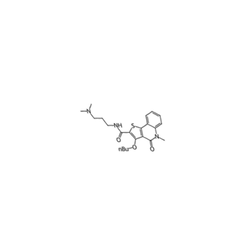 CCCCOc1c(C(=O)NCCCN(C)C)sc2c1c(=O)n(C)c1ccccc21